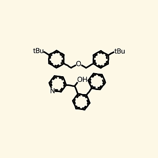 CC(C)(C)c1ccc(COCc2ccc(C(C)(C)C)cc2)cc1.OC(c1cccnc1)c1ccccc1-c1ccccc1